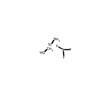 CCN.CO.FB(F)F